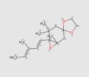 CC(/C=C/C12OC1(C)CC1(CC2(C)C)OCCO1)=C\C(=O)O